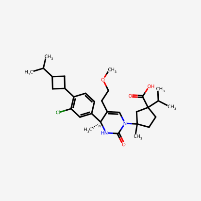 COCCC1=CN(C2(C)CCC(C(=O)O)(C(C)C)C2)C(=O)N[C@@]1(C)c1ccc(C2CC(C(C)C)C2)c(Cl)c1